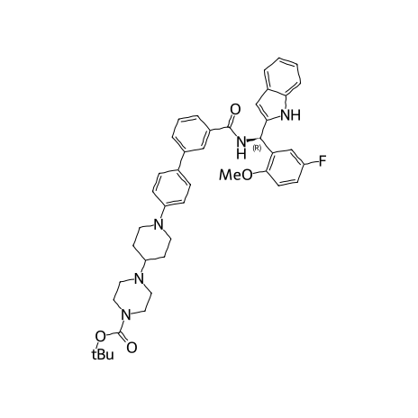 COc1ccc(F)cc1[C@@H](NC(=O)c1cccc(-c2ccc(N3CCC(N4CCN(C(=O)OC(C)(C)C)CC4)CC3)cc2)c1)c1cc2ccccc2[nH]1